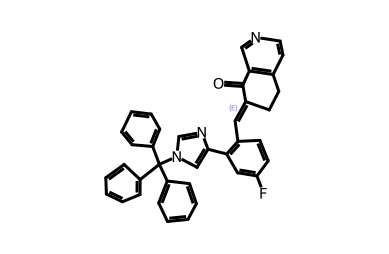 O=C1/C(=C/c2ccc(F)cc2-c2cn(C(c3ccccc3)(c3ccccc3)c3ccccc3)cn2)CCc2ccncc21